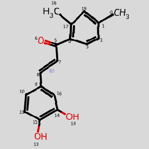 Cc1ccc(C(=O)/C=C/c2ccc(O)c(O)c2)c(C)c1